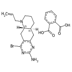 C=CCN1CCC[C@H]2Cc3nc(N)nc(Br)c3C[C@@H]21.O=C(O)c1ccccc1C(=O)O